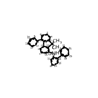 CC1(C)c2cccc(-c3ccccc3)c2-c2cccc(Nc3ccccc3-c3ccccc3)c21